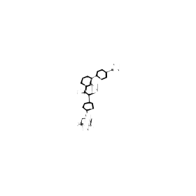 COc1c(-c2ccc(N3C[C@@H](C)N(C)[C@@H](C)C3)cc2)cnc2c(-c3ccc(C#N)cc3)cccc12